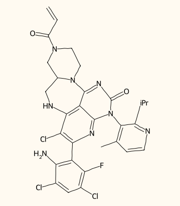 C=CC(=O)N1CCN2c3nc(=O)n(-c4c(C)ccnc4C(C)C)c4nc(-c5c(N)c(Cl)cc(Cl)c5F)c(Cl)c(c34)NCC2C1